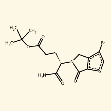 CC(C)(C)OC(=O)CC[C@@H](C(N)=O)N1Cc2c(Br)csc2C1=O